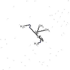 CC/C=C\CC1C(=O)CCC1CC(=O)OCCC(CCCCCCCC/C=C\C/C=C\CCCCC)OC(=O)C(CCCCCC)CCCCCCCC